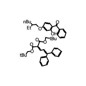 CC(C)(C)COC(=O)C(=CC=C(c1ccccc1)c1ccccc1)C(=O)OCC(C)(C)C.CCCCC(CC)COc1ccc(C(=O)c2ccccc2)c(O)c1